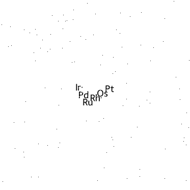 [Ir].[Os].[Pd].[Pt].[Rh].[Ru]